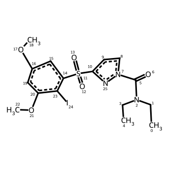 CCN(CC)C(=O)n1ccc(S(=O)(=O)c2cc(OC)cc(OC)c2I)n1